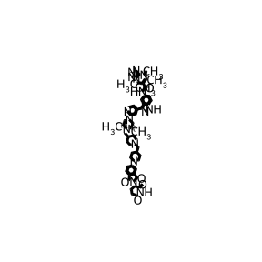 CC1=C(C(=O)Nc2ccc3[nH]nc(-c4ccnc(N5C[C@@H](C)N(CC6CCN(CC7CCN(c8ccc9c(c8)C(=O)N(C8CCC(=O)NC8=O)C9=O)CC7)CC6)[C@@H](C)C5)c4)c3c2)C(C)(C)n2nnnc2N1C